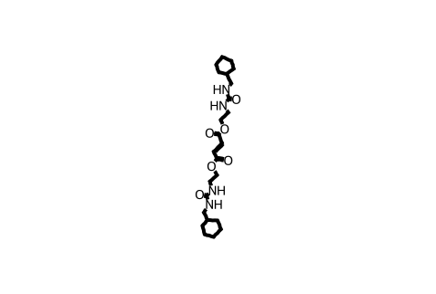 O=C(NCCOC(=O)/C=C/C(=O)OCCNC(=O)NCC1CCCCC1)NCC1CCCCC1